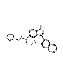 COc1c(C(=O)NCC2=COCC2)ccc2[nH]nc(-c3ccc4ccccc4c3)c12